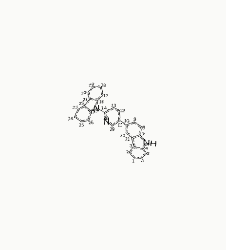 c1ccc2c(c1)[nH]c1ccc(-c3ccc(-n4c5ccccc5c5ccccc54)nc3)cc12